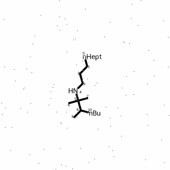 CCCCCCCCCCNC(C)(C)C(C)CCCC